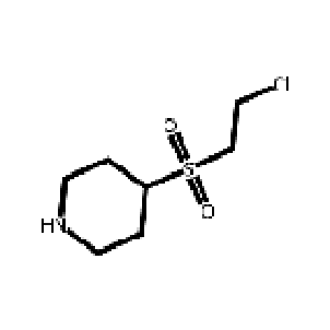 O=S(=O)(CCCl)C1CCNCC1